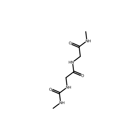 CNC(=O)CNC(=O)CNC(=O)NC